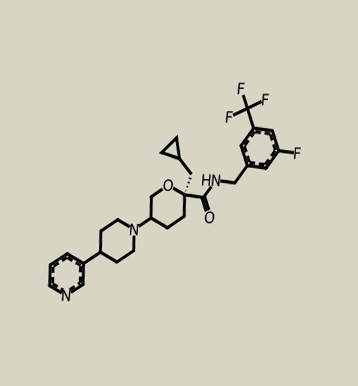 O=C(NCc1cc(F)cc(C(F)(F)F)c1)[C@@]1(CC2CC2)CCC(N2CCC(c3cccnc3)CC2)CO1